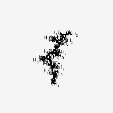 CCOc1cc(-c2cnn(C)c2)cc([C@@H](C)NC(=O)c2cc(N3C[C@H]4C[C@@H]3CN4C)cc(Cn3cc(-c4cc([C@@H](C)NC(=O)c5cc(N6C[C@H]7C[C@@H]6CN7C)cc(CN/C=C(\C=N)c6cc([C@@H](C)NC(=O)c7cc(N8CCN(C)CC8)ncc7C)cc(OC)c6OC)c5C)cc(OC)c4OC)cn3)c2C)c1